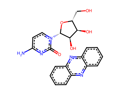 Nc1ccn([C@@H]2O[C@H](CO)[C@@H](O)[C@H]2O)c(=O)n1.c1ccc2nc3ccccc3nc2c1